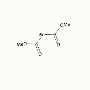 CO[C](=O)[Sn][C](=O)OC